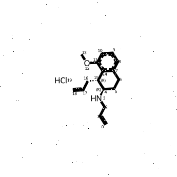 C=CCN[C@@H]1CCc2cccc(OC)c2[C@H]1CC=C.Cl